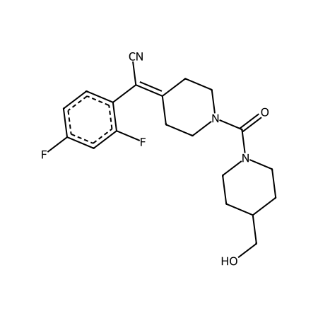 N#CC(=C1CCN(C(=O)N2CCC(CO)CC2)CC1)c1ccc(F)cc1F